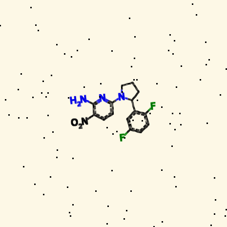 Nc1nc(N2CCCC2c2cc(F)ccc2F)ccc1[N+](=O)[O-]